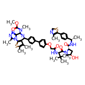 COC(=O)N(C)C1N=C(c2ccc(-c3ccc(OCC(=O)N[C@H](C(=O)N4C[C@H](O)C[C@H]4C(=O)N[C@@H](C)c4ccc(-c5scnc5C)cc4)C(C)(C)C)cc3)cc2)c2c(sc(C)c2C)-n2c(C)nnc21